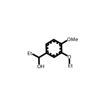 CCOc1cc(C(O)CC)ccc1OC